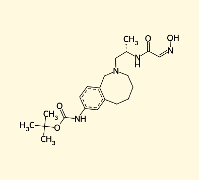 C[C@@H](CN1CCCCc2cc(NC(=O)OC(C)(C)C)ccc2C1)NC(=O)/C=N\O